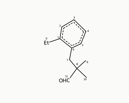 CCc1ccccc1CC(C)(C)C=O